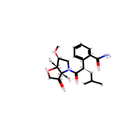 CO[C@H]1CN(C(=O)[C@@H](CC(C)C)c2ccccc2C(N)=O)[C@@H]2C(=O)CO[C@H]12